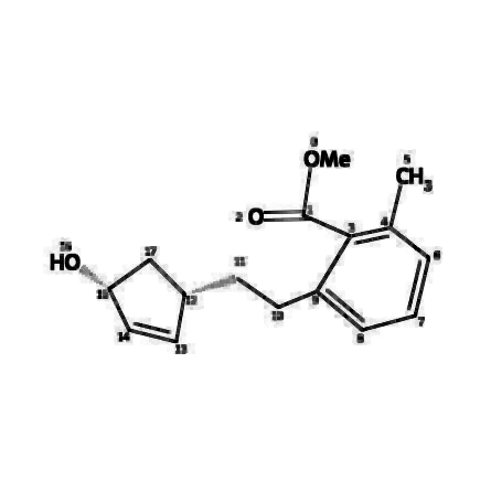 COC(=O)c1c(C)cccc1CC[C@@H]1C=C[C@H](O)C1